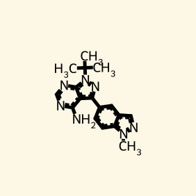 Cn1ncc2cc(-c3nn(C(C)(C)C)c4ncnc(N)c34)ccc21